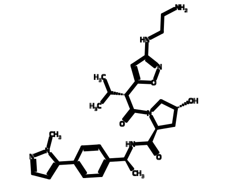 CC(C)[C@@H](C(=O)N1C[C@H](O)C[C@H]1C(=O)N[C@@H](C)c1ccc(-c2ccnn2C)cc1)c1cc(NCCN)no1